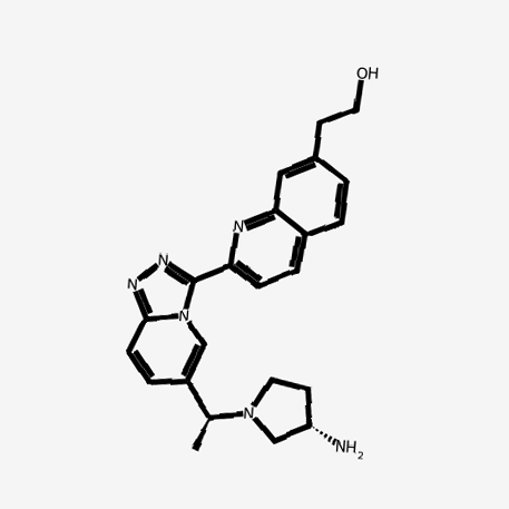 C[C@@H](c1ccc2nnc(-c3ccc4ccc(CCO)cc4n3)n2c1)N1CC[C@H](N)C1